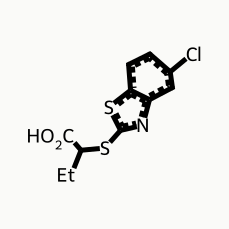 CCC(Sc1nc2cc(Cl)ccc2s1)C(=O)O